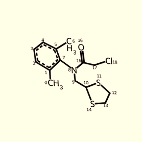 Cc1cccc(C)c1N(CC1SCCS1)C(=O)CCl